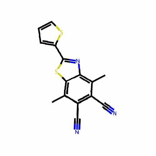 Cc1c(C#N)c(C#N)c(C)c2sc(-c3cccs3)nc12